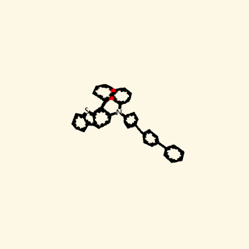 c1ccc(-c2ccc(-c3ccc(N(c4ccccc4)c4ccc5c(sc6ccccc65)c4-c4ccccc4)cc3)cc2)cc1